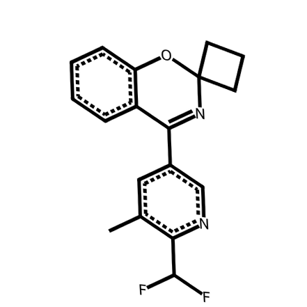 Cc1cc(C2=NC3(CCC3)Oc3ccccc32)cnc1C(F)F